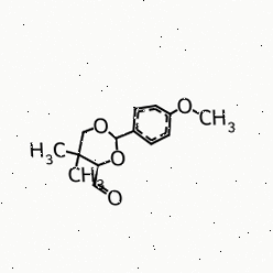 COc1ccc(C2OCC(C)(C)[C@H](C=O)O2)cc1